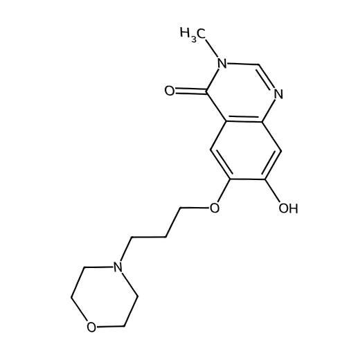 Cn1cnc2cc(O)c(OCCCN3CCOCC3)cc2c1=O